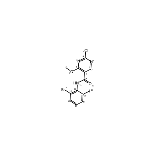 COc1nc(Cl)ncc1C(=O)Nc1c(Br)cccc1I